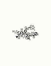 CCC[C@H](NC(=O)[C@@H]1CN(C(=O)OCC(C)C)C[C@@H]1NC(=O)[C@@H](NC(=O)CNC(=O)c1cnccn1)C(C)C)C(=O)C(=O)NC1CC1